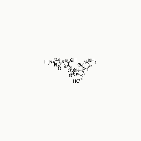 Nc1ccn([C@@H]2C[C@H](CO)[C@@H](OP(=O)(O)OC[C@H]3C[C@@H](n4ccc(N)nc4=O)C[C@@H]3O)C2)c(=O)n1